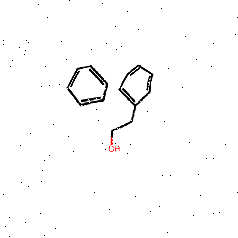 OCCc1ccccc1.[c]1ccccc1